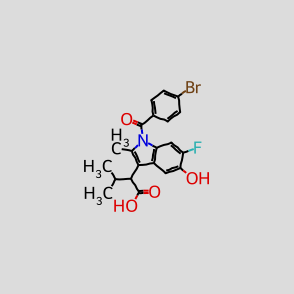 Cc1c(C(C(=O)O)C(C)C)c2cc(O)c(F)cc2n1C(=O)c1ccc(Br)cc1